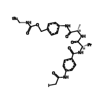 CC(C)[C@H](NC(=O)c1ccc(NC(=O)CI)cc1)C(=O)N[C@@H](C)C(=O)Nc1ccc(COC(=O)NCC(C)(C)C)cc1